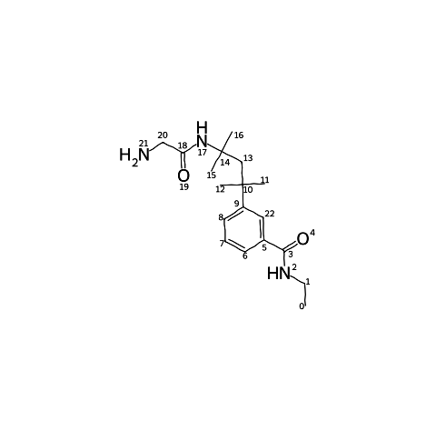 CCNC(=O)c1cccc(C(C)(C)CC(C)(C)NC(=O)CN)c1